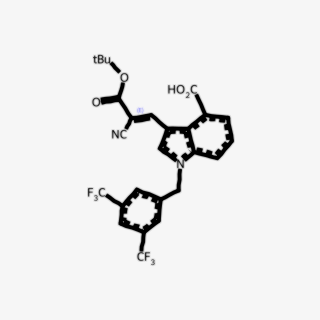 CC(C)(C)OC(=O)/C(C#N)=C/c1cn(Cc2cc(C(F)(F)F)cc(C(F)(F)F)c2)c2cccc(C(=O)O)c12